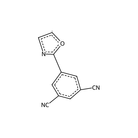 N#Cc1cc(C#N)cc(-c2nc[c]o2)c1